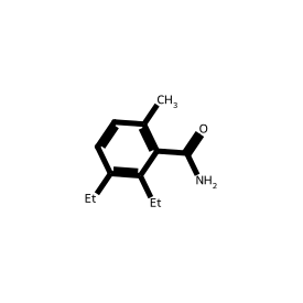 CCc1ccc(C)c(C(N)=O)c1CC